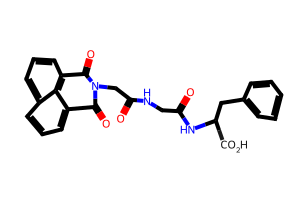 O=C(CN1C(=O)c2cccc3cccc(c23)C1=O)NCC(=O)NC(Cc1ccccc1)C(=O)O